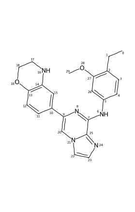 CCc1ccc(Nc2nc(-c3ccc4c(c3)NCCO4)cn3ccnc23)cc1OC